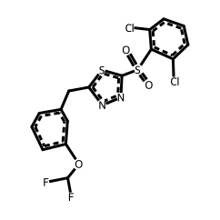 O=S(=O)(c1nnc(Cc2cccc(OC(F)F)c2)s1)c1c(Cl)cccc1Cl